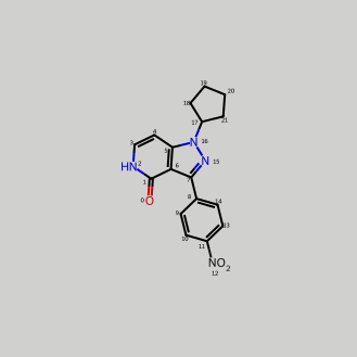 O=c1[nH]ccc2c1c(-c1ccc([N+](=O)[O-])cc1)nn2C1CCCC1